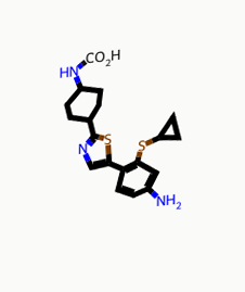 Nc1ccc(-c2cnc(C3CCC(NC(=O)O)CC3)s2)c(SC2CC2)c1